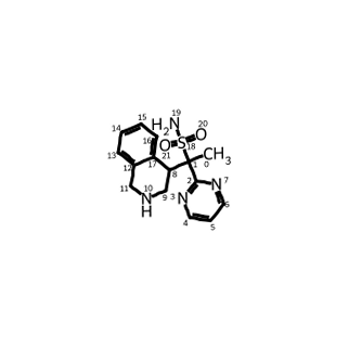 CC(c1ncccn1)(C1CNCc2ccccc21)S(N)(=O)=O